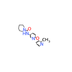 Cc1ncccc1Oc1ccc(NC(=O)N2CCCCCC2)cn1